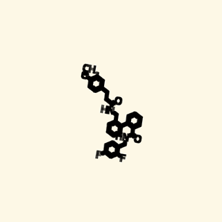 COc1ccc(CCC(=O)NCc2ccccc2-c2ccccc2C(=O)NCc2ccc(F)cc2F)cc1